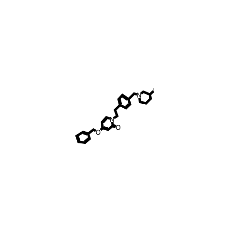 O=c1cc(OCc2ccccc2)ccn1CCc1ccc(CN2CCCC(I)C2)cc1